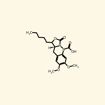 CCCCCC1OC(=O)N2[C@@H]1Cc1cc(OC)c(OC)cc1N2C(=O)O